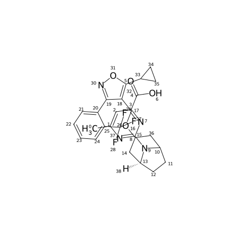 Cc1cc(C(=O)O)nc(N2C3CC[C@H]2CC(OCc2c(-c4ccccc4C(F)(F)F)noc2C2CC2)C3)n1